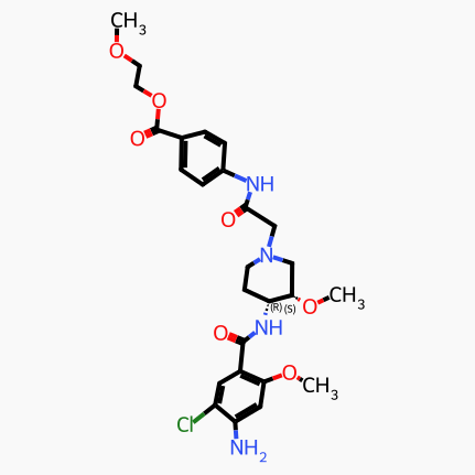 COCCOC(=O)c1ccc(NC(=O)CN2CC[C@@H](NC(=O)c3cc(Cl)c(N)cc3OC)[C@@H](OC)C2)cc1